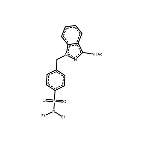 CCN(CC)S(=O)(=O)c1ccc(Cn2nc(NC(C)=O)c3ccccc32)cc1